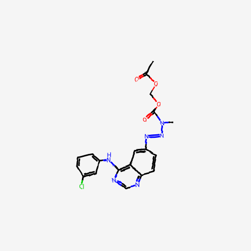 CC(=O)OCOC(=O)N(C)N=Nc1ccc2ncnc(Nc3cccc(Cl)c3)c2c1